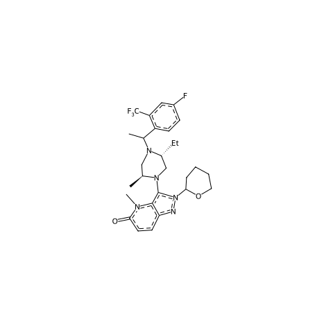 CC[C@@H]1CN(c2c3c(ccc(=O)n3C)nn2C2CCCCO2)[C@@H](C)CN1C(C)c1ccc(F)cc1C(F)(F)F